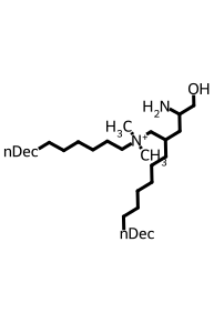 CCCCCCCCCCCCCCCCC(CC(N)CO)C[N+](C)(C)CCCCCCCCCCCCCCCC